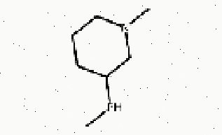 CPC1CCCN(C)C1